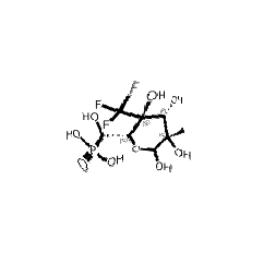 C[C@@]1(O)C(O)O[C@H](C(O)P(=O)(O)O)[C@](O)(C(F)(F)F)[C@@H]1O